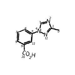 Cc1ncn(-c2cccc(C(=O)O)c2)n1